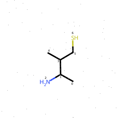 CC(N)C(C)CS